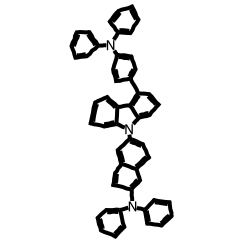 c1ccc(N(c2ccccc2)c2ccc(-c3cccc4c3c3ccccc3n4-c3ccc4cc(N(c5ccccc5)c5ccccc5)ccc4c3)cc2)cc1